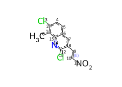 Cc1c(Cl)ccc2cc(/C=C/[N+](=O)[O-])c(Cl)nc12